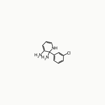 NC1=CC=CNC1(N)c1cccc(Cl)c1